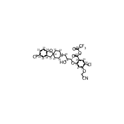 N#CCOc1cc(OC[C@H](O)CN2CCC3(CC2)Cc2cc(Cl)ccc2O3)c(C(=O)OC(=O)C(F)(F)F)cc1Cl